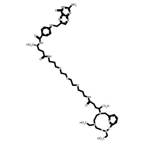 Nc1nc2ncc(CNc3ccc(C(=O)N[C@@H](CCC(=O)NCCCOCCOCCOCCCNC(=O)CCC(C(=O)O)N4CCN(CC(=O)O)CCN(CC(=O)O)Cc5cccc(n5)C4)C(=O)O)cc3)nc2c(=O)[nH]1